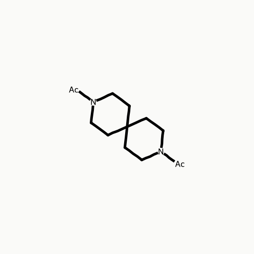 CC(=O)N1CCC2(CC1)CCN(C(C)=O)CC2